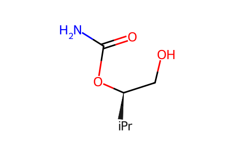 CC(C)[C@H](CO)OC(N)=O